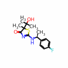 C[C@H](NC1=NC(=O)C(C)(C(C)(C)O)S1)c1ccc(F)cc1